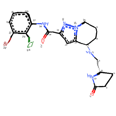 O=C1CC[C@@H](CN[C@H]2CCCn3nc(C(=O)Nc4cccc(Br)c4Cl)cc32)N1